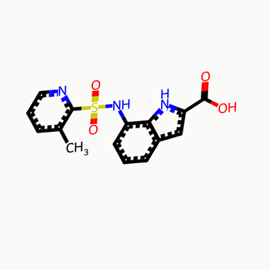 Cc1cccnc1S(=O)(=O)Nc1cccc2cc(C(=O)O)[nH]c12